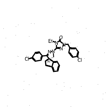 CCn1c(N2C[C@]3(CCc4ccccc43)C(c3ccc(Cl)cc3)=N2)nn(Cc2ccc(Cl)cc2)c1=O